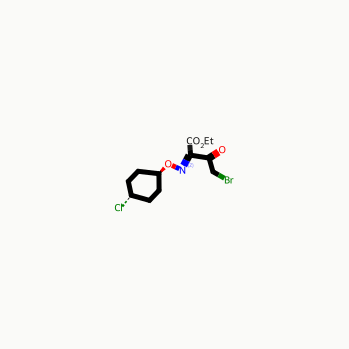 CCOC(=O)/C(=N\O[C@H]1CC[C@H](Cl)CC1)C(=O)CBr